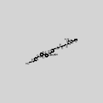 Cc1c(NC(=O)c2ccc(CNCCNC(=O)CCCNc3nc(N)n4nc(-c5ccco5)nc4n3)cn2)cccc1-c1cccc(NC(=O)c2ccc(CNCCO)cn2)c1Cl.O=CO